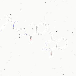 N#CC1(NCC2CN(C(=O)c3cc(Cc4n[nH]c(=O)c5ccccc45)ccc3F)C2)CC1